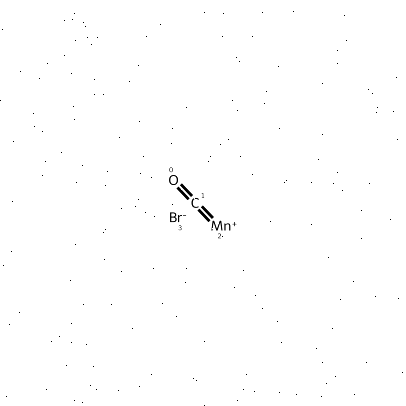 O=[C]=[Mn+].[Br-]